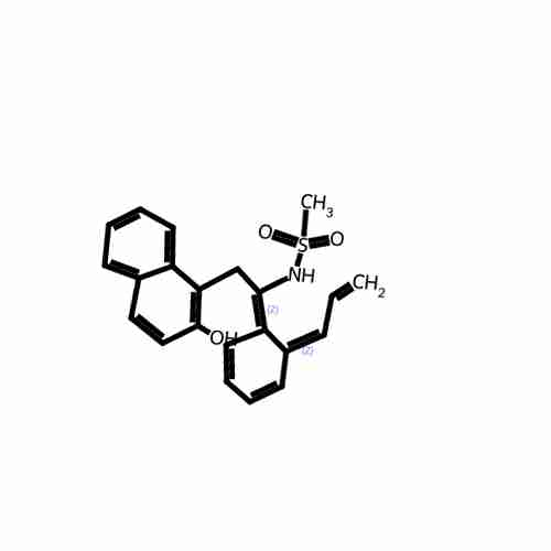 C=C/C=c1/cccc/c1=C(\Cc1c(O)ccc2ccccc12)NS(C)(=O)=O